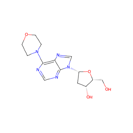 OC[C@H]1O[C@@H](n2cnc3c(N4CCOCC4)ncnc32)C[C@H]1O